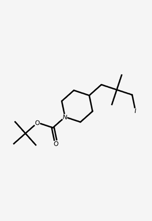 CC(C)(CI)CC1CCN(C(=O)OC(C)(C)C)CC1